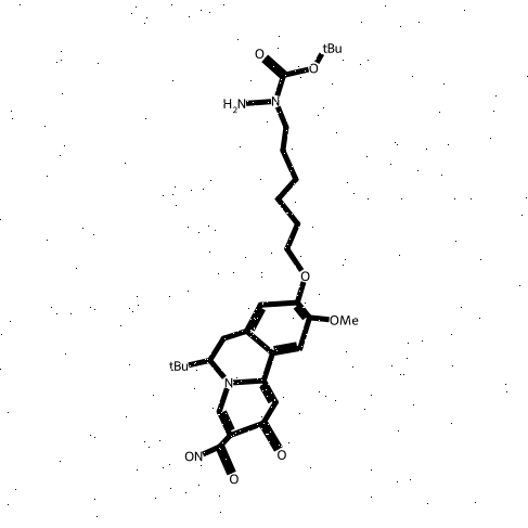 COc1cc2c(cc1OCCCCCCN(N)C(=O)OC(C)(C)C)CC(C(C)(C)C)n1cc(C(=O)N=O)c(=O)cc1-2